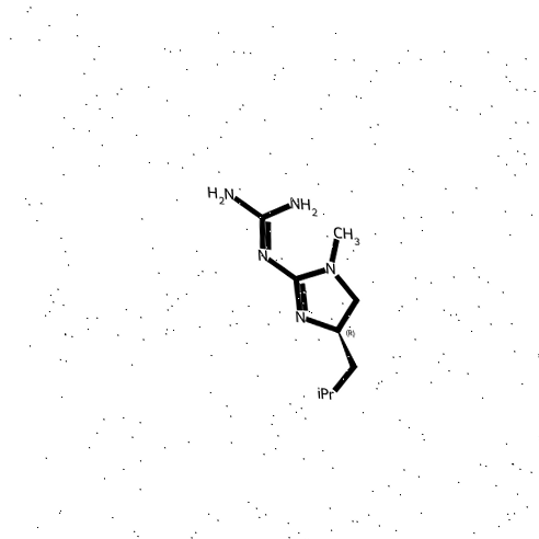 CC(C)C[C@@H]1CN(C)C(N=C(N)N)=N1